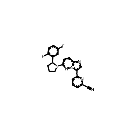 N#Cc1cccc(-c2cnc3ccc(N4CCCC4c4cc(F)ccc4F)nn23)n1